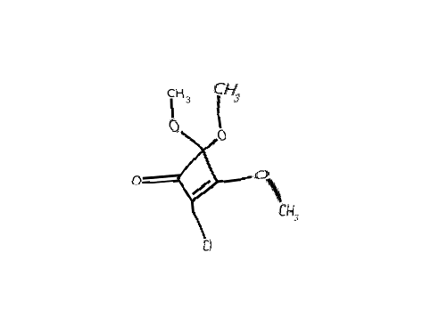 COC1=C(Cl)C(=O)C1(OC)OC